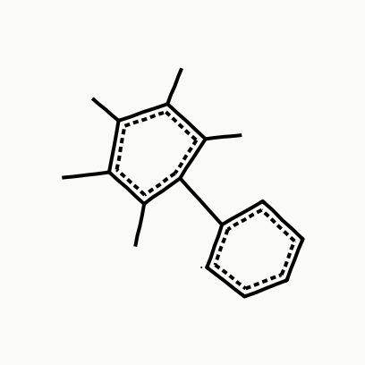 Cc1c(C)c(C)c(-c2[c]cccc2)c(C)c1C